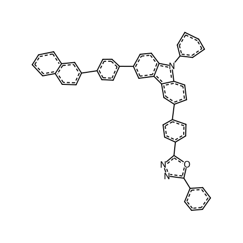 c1ccc(-c2nnc(-c3ccc(-c4ccc5c(c4)c4cc(-c6ccc(-c7ccc8ccccc8c7)cc6)ccc4n5-c4ccccc4)cc3)o2)cc1